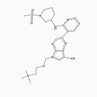 C[Si](C)(C)CCOCn1cc(C#N)c2nc(-c3cccnc3NC3CCCN(S(C)(=O)=O)C3)cnc21